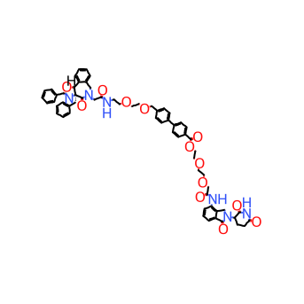 O=C(CN1Cc2ccccc2[C@@H]2OC(c3ccccc3)=N[C@]2(Cc2ccccc2)C1=O)NCCOCCOCc1ccc(-c2ccc(C(=O)OCCOCCOCC(=O)Nc3cccc4c3CN(C3CCC(=O)NC3=O)C4=O)cc2)cc1